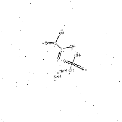 O=S(=O)(O)O.O=S(O)S(=O)O.[NaH].[NaH]